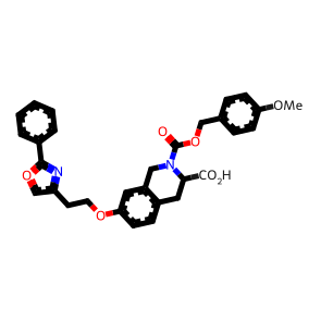 COc1ccc(COC(=O)N2Cc3cc(OCCc4coc(-c5ccccc5)n4)ccc3CC2C(=O)O)cc1